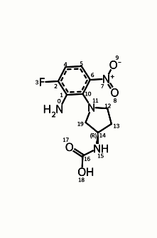 Nc1c(F)ccc([N+](=O)[O-])c1N1CC[C@@H](NC(=O)O)C1